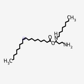 CCCCCCCC/C=C\CCCCCCCC(=O)OC(CCN)NCCCCCCCC